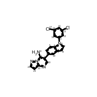 Nc1c(-c2ccc3c(ccn3-c3cc(Cl)cc(Cl)c3)c2)cnc2ccnn12